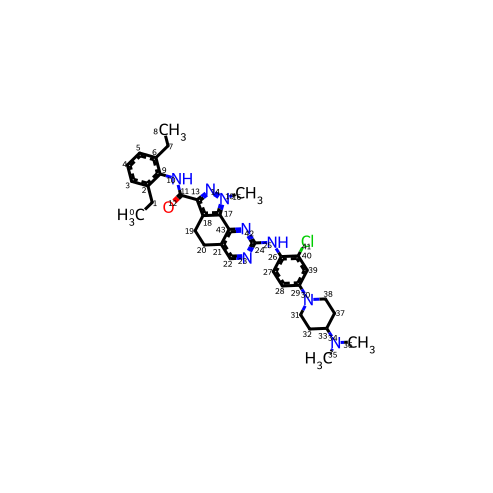 CCc1cccc(CC)c1NC(=O)c1nn(C)c2c1CCc1cnc(Nc3ccc(N4CCC(N(C)C)CC4)cc3Cl)nc1-2